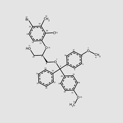 COc1ccc(C(OC[C@@H](CO)Oc2ccc(Br)c(C)c2Cl)(c2ccccc2)c2ccc(OC)cc2)cc1